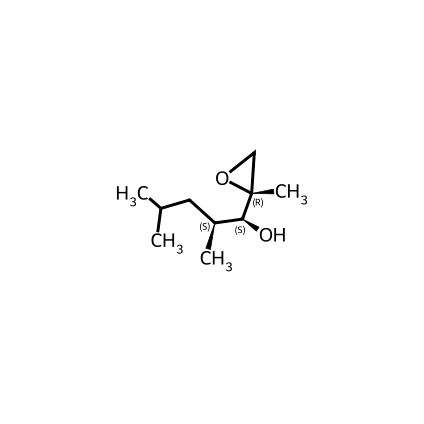 CC(C)C[C@H](C)[C@H](O)[C@@]1(C)CO1